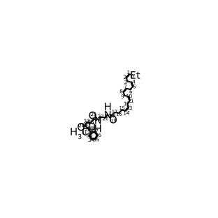 CC/C=C\C/C=C\C/C=C\C/C=C\C/C=C\CCCC(=O)NCCNC(=O)C1=CC(=O)C(C)(c2ccccc2)O1